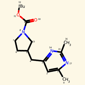 Cc1cc(CC2CCN(C(=O)OC(C)(C)C)C2)nc(C)n1